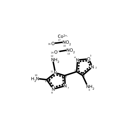 Nc1nonc1-c1nnc(N)n1N.O=[N+]([O-])[O-].O=[N+]([O-])[O-].[Co+2]